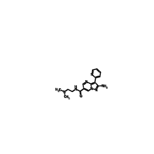 CN(C)CCNC(=O)c1cnc2c(-c3ccccn3)c(N)nn2c1